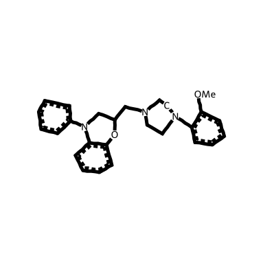 COc1ccccc1N1CCN(CC2CN(c3ccccc3)c3ccccc3O2)CC1